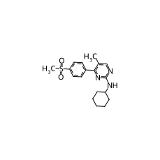 Cc1cnc(NC2CCCCC2)nc1-c1ccc(S(C)(=O)=O)cc1